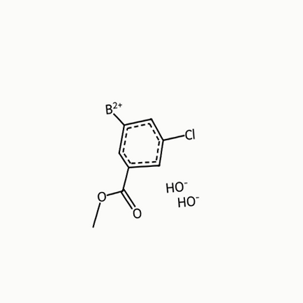 [B+2]c1cc(Cl)cc(C(=O)OC)c1.[OH-].[OH-]